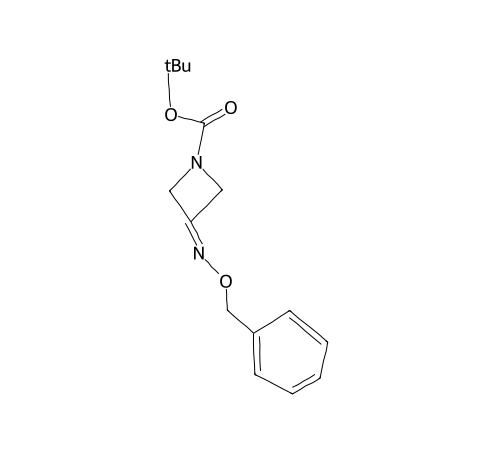 CC(C)(C)OC(=O)N1CC(=NOCc2ccccc2)C1